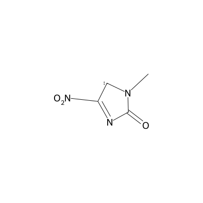 CN1[C]C([N+](=O)[O-])=NC1=O